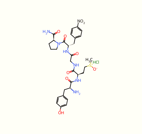 C[S+]([O-])CC[C@@H](NC(=O)[C@@H](N)Cc1ccc(O)cc1)C(=O)NCC(=O)N[C@@H](Cc1ccc([N+](=O)[O-])cc1)C(=O)N1CCC[C@H]1C(N)=O.Cl